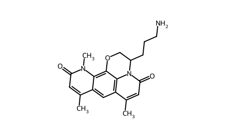 Cc1cc(=O)n(C)c2c3c4c(cc12)c(C)cc(=O)n4C(CCCN)CO3